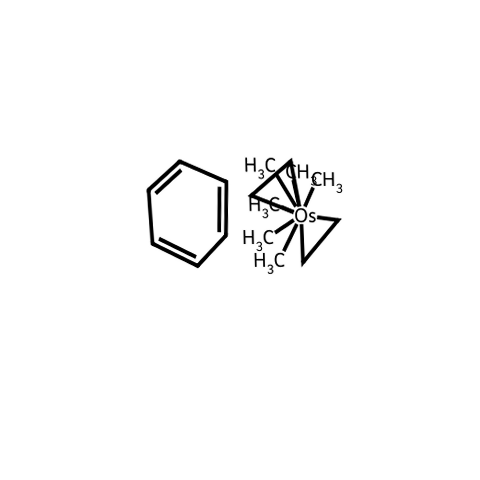 [CH3][Os]12([CH3])([CH3])([CH3])([CH3])([CH3])([CH2][CH2]1)[CH2][CH2]2.c1ccccc1